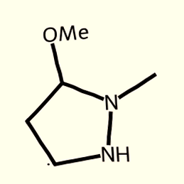 COC1C[CH]NN1C